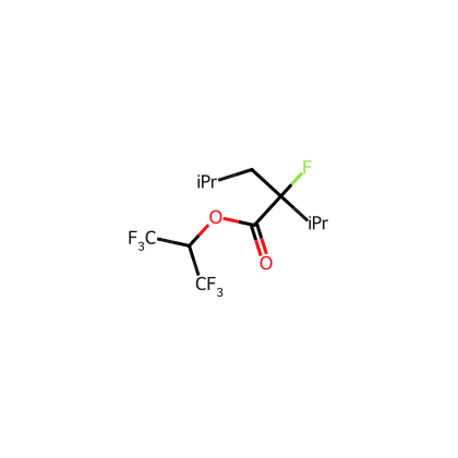 CC(C)CC(F)(C(=O)OC(C(F)(F)F)C(F)(F)F)C(C)C